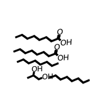 CC(O)CO.CCCCCCCC.CCCCCCCC.CCCCCCCC(=O)O.CCCCCCCC(=O)O